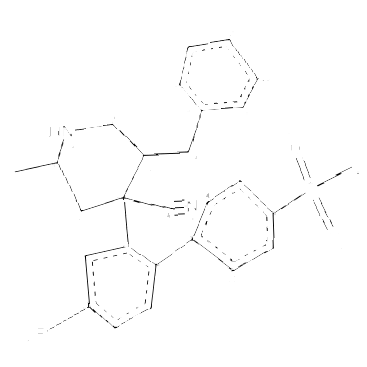 CC1CC(C#N)(c2cc(F)ccc2-c2ccc(S(C)(=O)=O)cc2)C(Cc2ccccc2)CN1